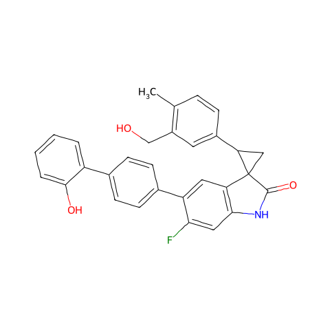 Cc1ccc(C2CC23C(=O)Nc2cc(F)c(-c4ccc(-c5ccccc5O)cc4)cc23)cc1CO